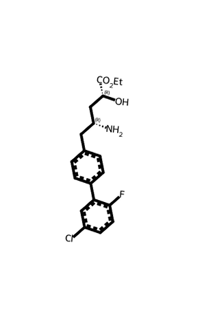 CCOC(=O)[C@H](O)C[C@H](N)Cc1ccc(-c2cc(Cl)ccc2F)cc1